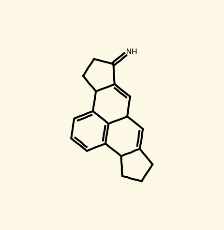 N=C1CCC2C1=CC1C=C3CCCC3c3cccc2c31